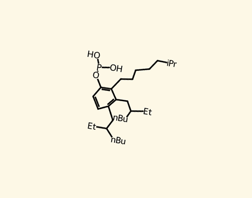 CCCCC(CC)Cc1ccc(OP(O)O)c(CCCCCC(C)C)c1CC(CC)CCCC